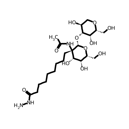 CC(=O)N[C@]1(CCCCCCCCC(=O)NN)[C@H](O[C@H]2[C@@H](O)[C@@H](CO)OC[C@@H]2O)O[C@H](CO)[C@H](O)[C@@H]1O